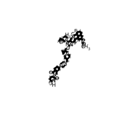 CCc1c(F)ccc2cc(OCOC)cc(-c3ncc4c(N5CCC[C@@]6(CCO6)C5)nc(OCC5(CN6CCC(CN7CCN(c8ccc9c(c8)CN(C8CCC(=O)NC8=O)C9=O)CC7)CC6)CC5)nc4c3F)c12